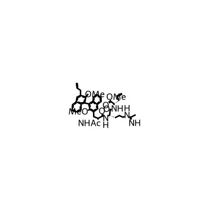 C=CCc1cc2ccccc2c(-c2c(OC)c(CC(NC(C)=O)C(=O)N[C@@H](CCCNC(C)=N)C(=O)N[C@@H](CC=C)C(=O)OC)cc3ccccc23)c1OC